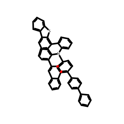 c1ccc(-c2ccc(-c3ccc(N(c4ccccc4-c4ccc5ccccc5c4)c4ccccc4-c4cccc5c4sc4ccccc45)cc3)cc2)cc1